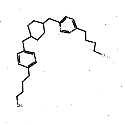 CCCCCc1ccc(CC2CCC(Cc3ccc(CCCCC)cc3)CC2)cc1